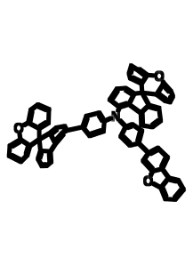 c1ccc2c(c1)Oc1ccccc1C21c2ccccc2-c2cc(-c3ccc(N(c4ccc(-c5ccc6c(c5)oc5ccccc56)cc4)c4cccc5c4-c4ccccc4C54c5ccccc5Oc5ccccc54)cc3)ccc21